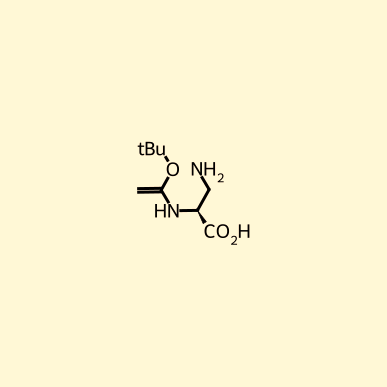 C=C(N[C@@H](CN)C(=O)O)OC(C)(C)C